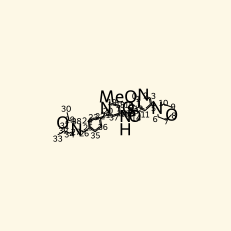 COc1ncc(N2CCOCC2)cc1S(=O)(=O)Nc1ccnc(-c2ccc(CN3CC(C)OC(C)C3)cc2)c1